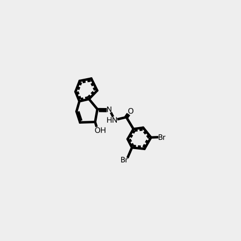 O=C(NN=C1c2ccccc2C=CC1O)c1cc(Br)cc(Br)c1